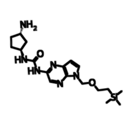 C[Si](C)(C)CCOCn1ccc2nc(NC(=O)N[C@H]3CC[C@H](N)C3)cnc21